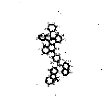 CC1(C)c2ccccc2-c2ccc(N(c3ccc(-c4cc5c6ccccc6c6c(c7ccccc7n6-c6ccccc6)c5c5ccccc45)cc3)c3cccc4ccccc34)cc21